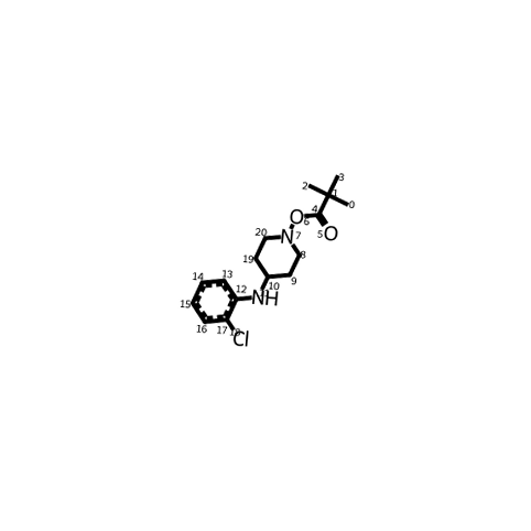 CC(C)(C)C(=O)ON1CCC(Nc2ccccc2Cl)CC1